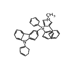 Cn1cc(-c2ccccc2)c([Si](c2ccccc2)(c2ccccc2)c2ccc3c(c2)c2ccccc2n3C2=CC=CCC2)c1